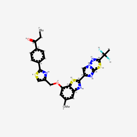 COc1cc(OCc2csc(-c3ccc(C(=O)CC(C)(C)C)cc3)n2)c2sc(-c3cn4nc(C(C)(F)F)sc4n3)nc2c1